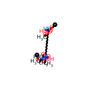 CCCC[C@@H](C(=O)O)N(CCCCCCCCCCCCCC(COC(=O)[C@@H](CO)NC(=O)OCc1ccccc1)C(C)=O)C(=O)[C@H](C)NC(=O)[C@@H](NC(=O)c1ccccc1)C(C)C